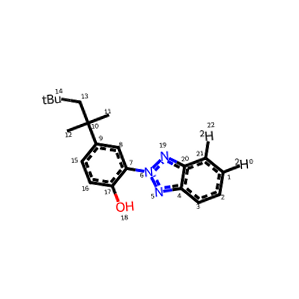 [2H]c1ccc2nn(-c3cc(C(C)(C)CC(C)(C)C)ccc3O)nc2c1[2H]